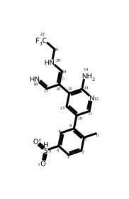 Cc1ccc([SH](=O)=O)cc1-c1cnc(N)c(/C(C=N)=C/NCC(F)(F)F)c1